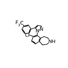 FC(F)(F)c1cccc(-c2ccnn2-c2c(Cl)ccc3c2CCNCC3)c1